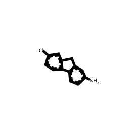 Nc1ccc2c(c1)Cc1cc(Cl)ccc1-2